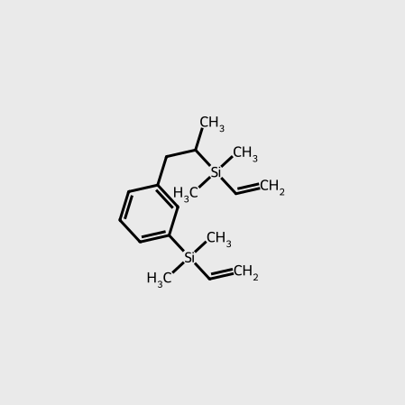 C=C[Si](C)(C)c1cccc(CC(C)[Si](C)(C)C=C)c1